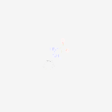 NN[SH](=O)=O.c1ccsc1